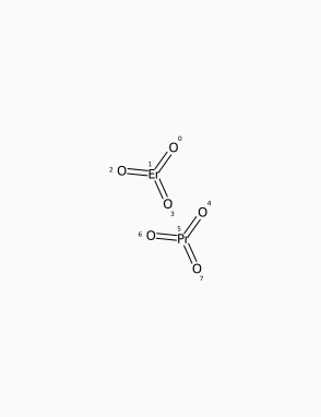 [O]=[Er](=[O])=[O].[O]=[Pr](=[O])=[O]